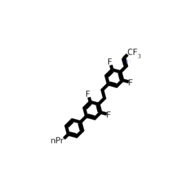 CCCc1ccc(-c2cc(F)c(CCc3cc(F)c(/C=C/C(F)(F)F)c(F)c3)c(F)c2)cc1